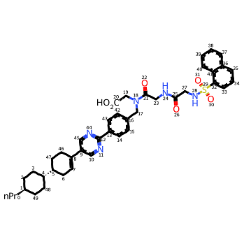 CCC[C@H]1CC[C@H](C2CC=C(c3cnc(-c4ccc(CN(CC(=O)O)C(=O)CNC(=O)CNS(=O)(=O)c5cccc6ccccc56)cc4)nc3)CC2)CC1